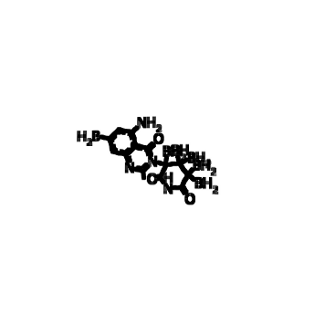 Bc1cc(N)c2c(=O)n(C3(B)C(=O)NC(=O)C(B)(B)C3(B)B)c(C)nc2c1